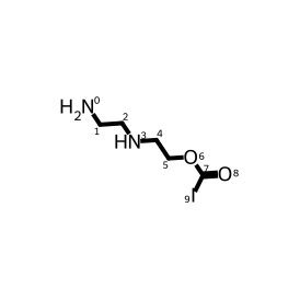 NCCNCCOC(=O)I